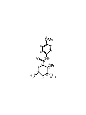 COc1ccc(NC(=O)C2CC(C)CC(C)C2C(C)C)cc1